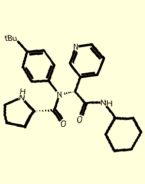 CC(C)(C)c1ccc(N(C(=O)[C@@H]2CCCN2)[C@@H](C(=O)NC2CCCCC2)c2cccnc2)cc1